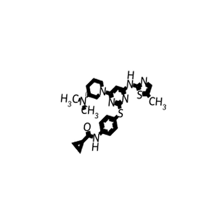 Cc1cnc(Nc2cc(N3CCC[C@@H](N(C)C)C3)nc(Sc3ccc(NC(=O)C4CC4)cc3)n2)s1